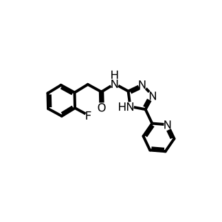 O=C(Cc1ccccc1F)Nc1nnc(-c2ccccn2)[nH]1